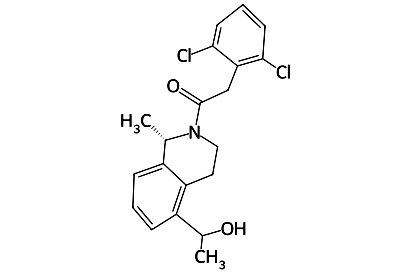 CC(O)c1cccc2c1CCN(C(=O)Cc1c(Cl)cccc1Cl)[C@H]2C